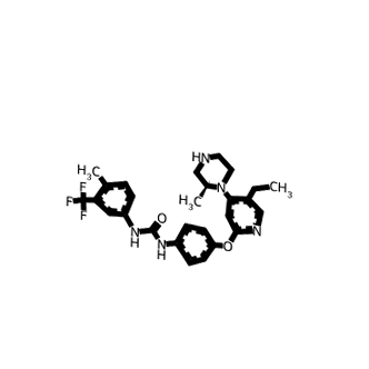 CCc1cnc(Oc2ccc(NC(=O)Nc3ccc(C)c(C(F)(F)F)c3)cc2)cc1N1CCNC[C@@H]1C